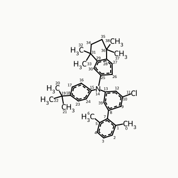 Cc1cccc(C)c1-c1cc(Cl)cc(N(c2ccc(C(C)(C)C)cc2)c2ccc3c(c2)C(C)(C)CCC3(C)C)c1